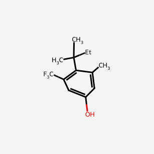 CCC(C)(C)c1c(C)cc(O)cc1C(F)(F)F